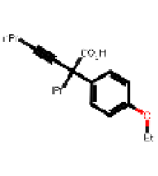 CCCC#CC(C(=O)O)(c1ccc(OCC)cc1)C(C)C